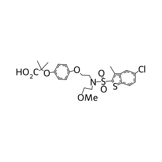 COCCN(CCOc1ccc(OC(C)(C)C(=O)O)cc1)S(=O)(=O)c1sc2ccc(Cl)cc2c1C